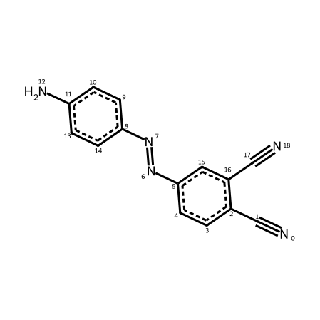 N#Cc1ccc(N=Nc2ccc(N)cc2)cc1C#N